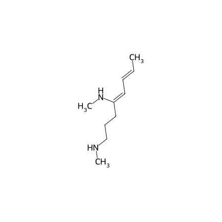 C/C=C/C=C(/CCCNC)NC